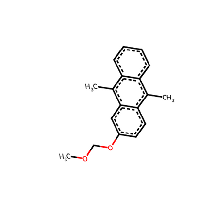 COCOc1ccc2c(C)c3ccccc3c(C)c2c1